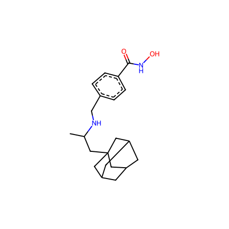 CC(CC12CC3CC(CC(C3)C1)C2)NCc1ccc(C(=O)NO)cc1